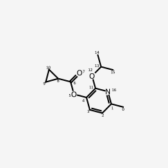 Cc1ccc(OC(=O)C2CC2)c(OC(C)C)n1